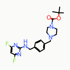 CC(C)(C)OC(=O)N1CCN(Cc2ccc(CNc3nc(F)cc(F)n3)cc2)CC1